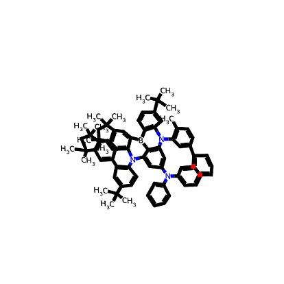 Cc1ccc(-c2ccccc2)cc1N1c2cc(C(C)(C)C)ccc2B2c3cc4c(cc3N(c3ccc(C(C)(C)C)cc3-c3ccc5c(c3)C(C)(C)CC5(C)C)c3cc(N(c5ccccc5)c5ccccc5)cc1c32)C(C)(C)CC4(C)C